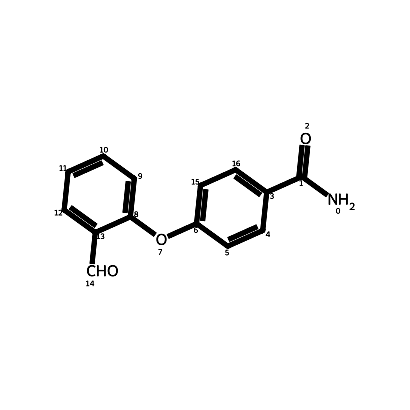 NC(=O)c1ccc(Oc2ccccc2C=O)cc1